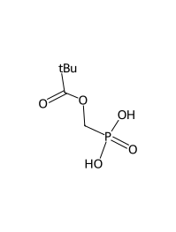 CC(C)(C)C(=O)OCP(=O)(O)O